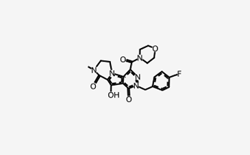 CN1CCn2c(c(O)c3c(=O)n(Cc4ccc(F)cc4)nc(C(=O)N4CCOCC4)c32)C1=O